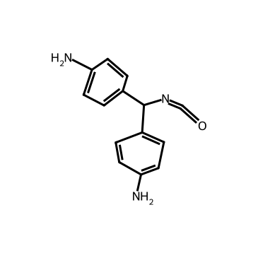 Nc1ccc(C(N=C=O)c2ccc(N)cc2)cc1